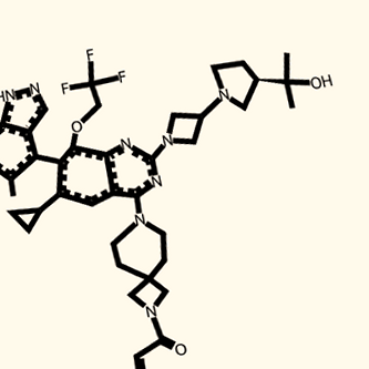 C=CC(=O)N1CC2(CCN(c3nc(N4CC(N5CC[C@@H](C(C)(C)O)C5)C4)nc4c(OCC(F)(F)F)c(-c5c(C)ccc6[nH]ncc56)c(C5CC5)cc34)CC2)C1